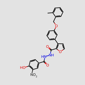 Cc1ccccc1COc1cccc(-c2ccoc2C(=O)NNC(=O)c2ccc(O)c([N+](=O)[O-])c2)c1